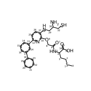 CSCCC(NC(=O)COc1nc(-c2cccc(-c3ccccc3)c2)ccc1NCC(N)CS)C(=O)O